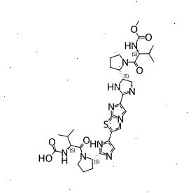 COC(=O)N[C@H](C(=O)N1CCCC1[C@@H]1CN=C(c2cn3cc(-c4cnc([C@@H]5CCCN5C(=O)[C@@H](NC(=O)O)C(C)C)[nH]4)sc3n2)N1)C(C)C